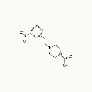 O=C(O)N1CCN(CCc2cccc([N+](=O)[O-])c2)CC1